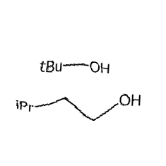 CC(C)(C)O.CC(C)CCO